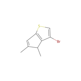 CC1=Cc2scc(Br)c2C1C